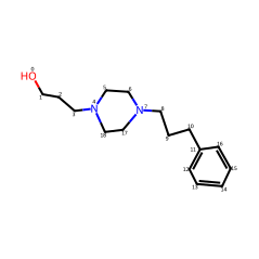 OCCCN1CCN(CCCc2ccccc2)CC1